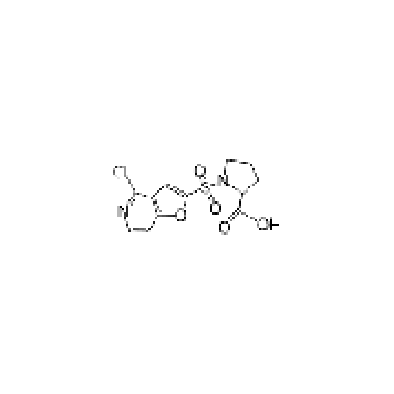 O=C(O)[C@@H]1CCCN1S(=O)(=O)c1cc2c(Cl)nccc2o1